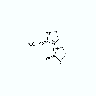 O.O=C1NCCN1.O=C1NCCN1